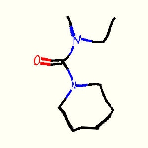 CCN(C)C(=O)N1CCCCC1